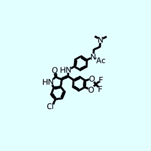 CC(=O)N(CCN(C)C)c1ccc(N/C(=C2\C(=O)Nc3cc(Cl)ccc32)c2ccc3c(c2)OC(F)(F)O3)cc1